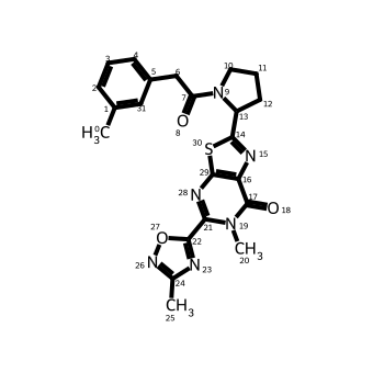 Cc1cccc(CC(=O)N2CCCC2c2nc3c(=O)n(C)c(-c4nc(C)no4)nc3s2)c1